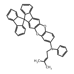 CC(C)=CCN(c1ccccc1)c1ccc2c(c1)Oc1cc3c(cc1O2)-c1ccccc1C31c2ccccc2-c2ccccc21